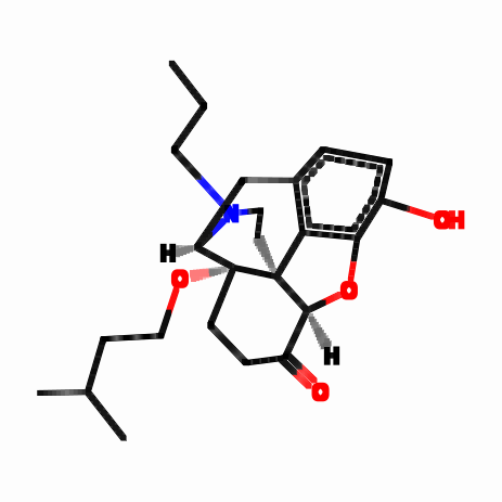 CCCN1CC[C@]23c4c5ccc(O)c4O[C@H]2C(=O)CC[C@@]3(OCCC(C)C)[C@H]1C5